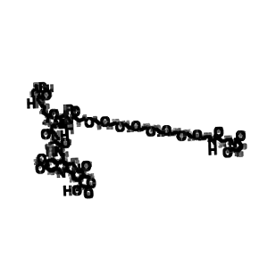 CC(C)[C@H](NC(=O)CCOCCOCCOCCOCCOCCOCCOCCOCCNC(=O)CCN1C(=O)C=CC1=O)C(=O)N[C@@H](CCCCNC(=O)OC(C)(C)C)C(=O)N[C@H](C)C(=O)NCc1c2c(nc3cc4c(cc13)OCO4)-c1cc3c(c(=O)n1C2)COC(=O)[C@H]3O